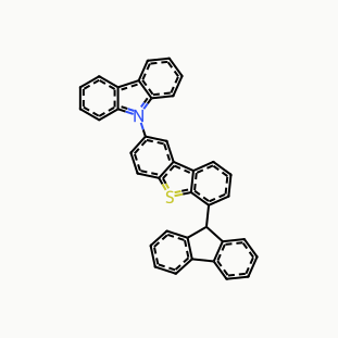 c1ccc2c(c1)-c1ccccc1C2c1cccc2c1sc1ccc(-n3c4ccccc4c4ccccc43)cc12